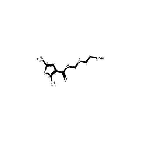 COCCOCOC(=O)c1cc(C)oc1C